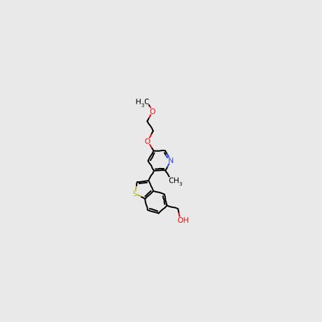 COCCOc1cnc(C)c(-c2csc3ccc(CO)cc23)c1